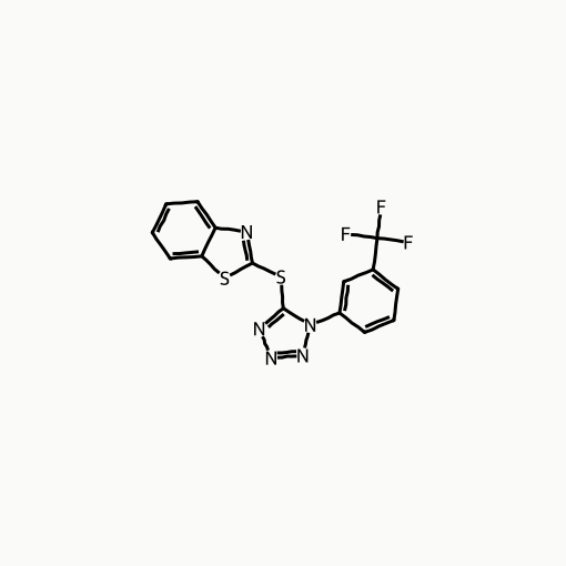 FC(F)(F)c1cccc(-n2nnnc2Sc2nc3ccccc3s2)c1